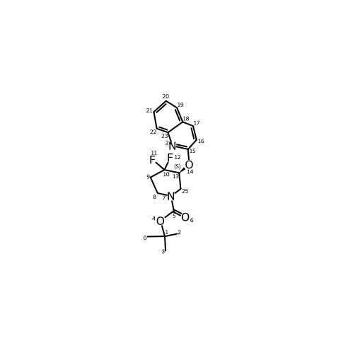 CC(C)(C)OC(=O)N1CCC(F)(F)[C@@H](Oc2ccc3ccccc3n2)C1